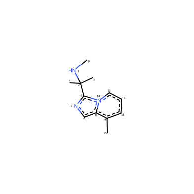 CNC(C)(C)c1ncc2c(C)cccn12